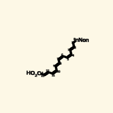 CCCCCCCCCC/C=C/C=C\C=C/C=C/C=C\C=C\C(=O)O